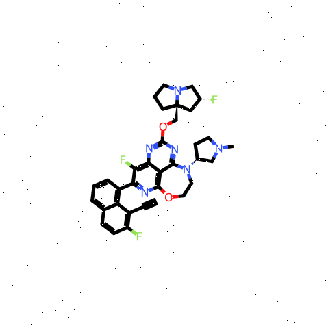 C#Cc1c(F)ccc2cccc(-c3nc4c5c(nc(OC[C@@]67CCCN6C[C@H](F)C7)nc5c3F)N([C@@H]3CCN(C)C3)CCO4)c12